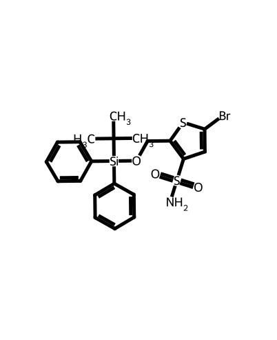 CC(C)(C)[Si](OCc1sc(Br)cc1S(N)(=O)=O)(c1ccccc1)c1ccccc1